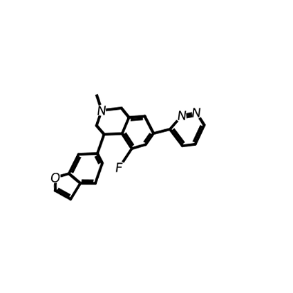 CN1Cc2cc(-c3cccnn3)cc(F)c2C(c2ccc3ccoc3c2)C1